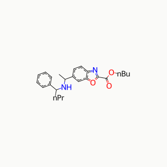 CCCCOC(=O)c1nc2ccc(C(C)NC(CCC)c3ccccc3)cc2o1